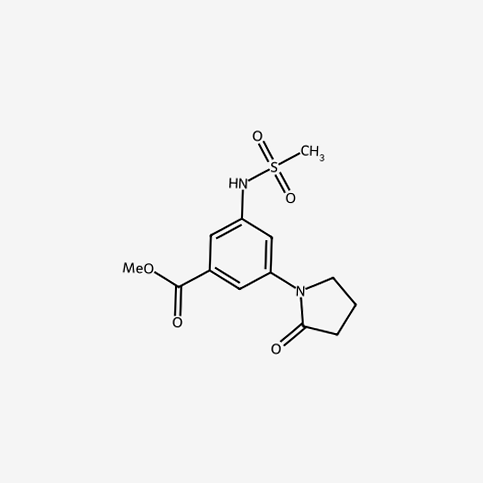 COC(=O)c1cc(NS(C)(=O)=O)cc(N2CCCC2=O)c1